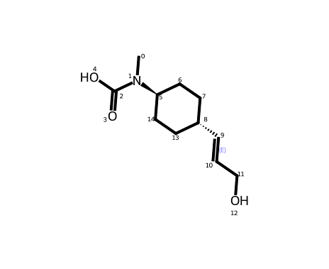 CN(C(=O)O)[C@H]1CC[C@H](/C=C/CO)CC1